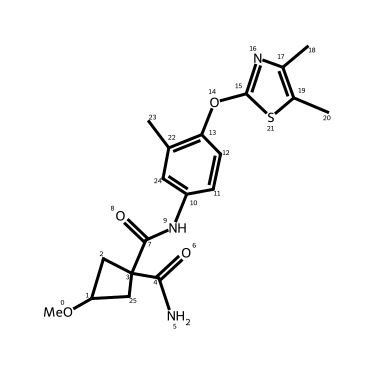 COC1CC(C(N)=O)(C(=O)Nc2ccc(Oc3nc(C)c(C)s3)c(C)c2)C1